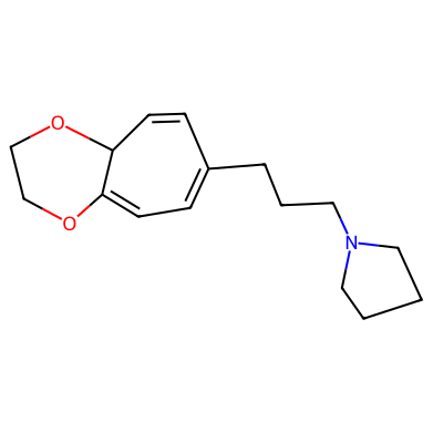 C1=CC2OCCOC2=CC=C1CCCN1CCCC1